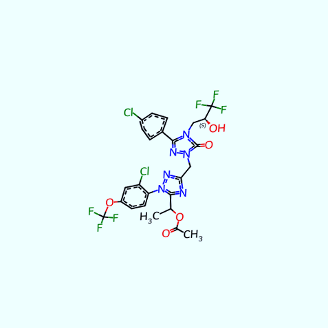 CC(=O)OC(C)c1nc(Cn2nc(-c3ccc(Cl)cc3)n(C[C@H](O)C(F)(F)F)c2=O)nn1-c1ccc(OC(F)(F)F)cc1Cl